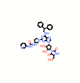 O=C(Nc1cccnc1)N[C@@H]1CCN(c2nc(NCC(c3ccccc3)c3ccccc3)c3ncn([C@@H]4C[C@H](N5C(=O)NC(CO)C5=O)[C@@H](O)[C@H]4O)c3n2)C1